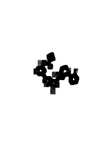 O=C(Nc1cncc(-c2cnc3[nH]nc(-c4cc5c(-c6ccccc6F)nccc5[nH]4)c3c2)c1)C1CCC1